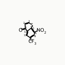 O=c1ccsc2c([N+](=O)[O-])cc(C(F)(F)F)cc12